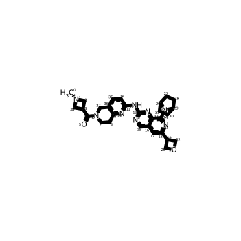 CN1CC(C(=O)N2CCc3nc(Nc4ncc5cc(C6COC6)nc(N6C7CCC6CC7)c5n4)ccc3C2)C1